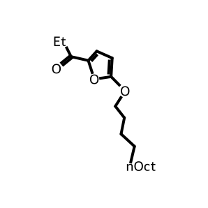 CCCCCCCCCCCCOc1ccc(C(=O)CC)o1